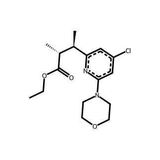 CCOC(=O)[C@H](C)[C@@H](C)c1cc(Cl)cc(N2CCOCC2)n1